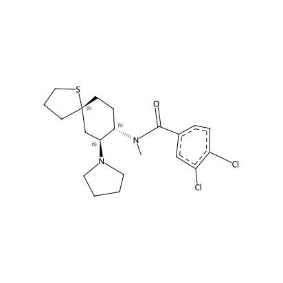 CN(C(=O)c1ccc(Cl)c(Cl)c1)[C@H]1CC[C@]2(CCCS2)C[C@@H]1N1CCCC1